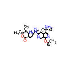 C[C@@H]1OC(=O)c2ccc(Nc3cc4c([C@](C)(N)C5CC5)cnc(OC5(C)CC5)c4cn3)nc2[C@H]1C